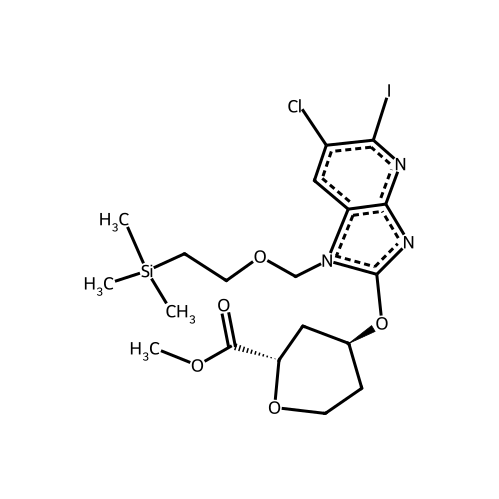 COC(=O)[C@@H]1C[C@@H](Oc2nc3nc(I)c(Cl)cc3n2COCC[Si](C)(C)C)CCO1